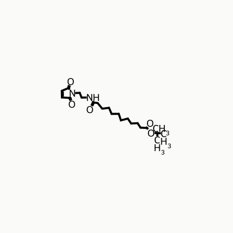 CC(C)(C)OC(=O)CCCCCCCCCCC(=O)NCCN1C(=O)C=CC1=O